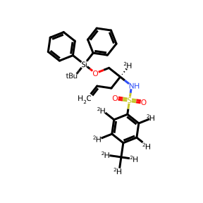 [2H]c1c([2H])c(S(=O)(=O)N[C@@]([2H])(CC=C)CO[Si](c2ccccc2)(c2ccccc2)C(C)(C)C)c([2H])c([2H])c1C([2H])([2H])[2H]